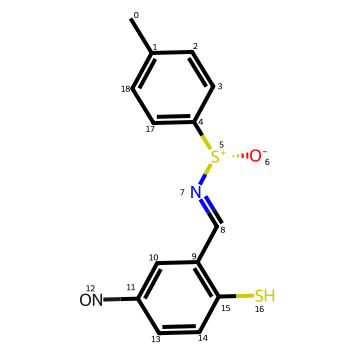 Cc1ccc([S@+]([O-])/N=C/c2cc(N=O)ccc2S)cc1